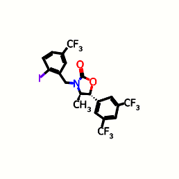 C[C@@H]1[C@@H](c2cc(C(F)(F)F)cc(C(F)(F)F)c2)OC(=O)N1Cc1cc(C(F)(F)F)ccc1I